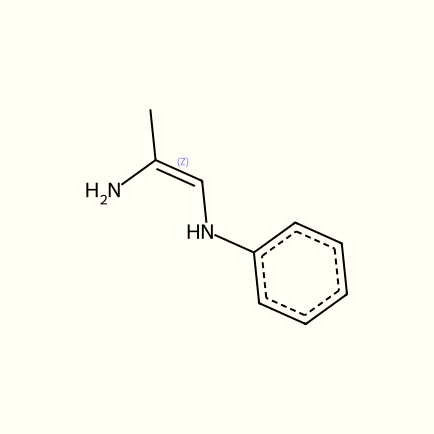 C/C(N)=C/Nc1ccccc1